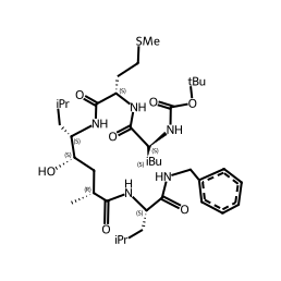 CC[C@H](C)[C@H](NC(=O)OC(C)(C)C)C(=O)N[C@@H](CCSC)C(=O)N[C@@H](CC(C)C)[C@@H](O)C[C@@H](C)C(=O)N[C@@H](CC(C)C)C(=O)NCc1ccccc1